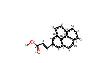 COC(=O)C=Cc1cc2ccc3cccc4ccc(c1)c2c34